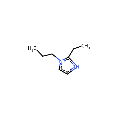 CC[CH]n1ccnc1CC